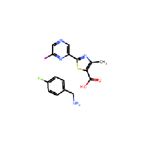 Cc1nc(-c2cncc(I)n2)sc1C(=O)O.NCc1ccc(F)cc1